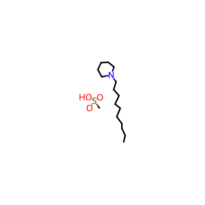 CCCCCCCCCCN1CCCCC1.CS(=O)(=O)O